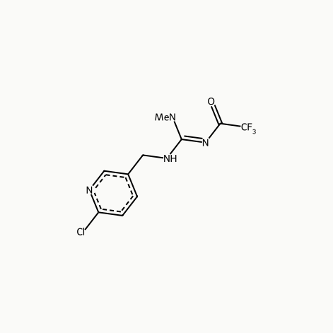 CN/C(=N\C(=O)C(F)(F)F)NCc1ccc(Cl)nc1